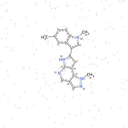 Cc1ccc2c(c1)c(-c1cc3c(ncc4cnn(C)c43)[nH]1)cn2C